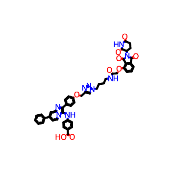 O=C(COc1cccc2c1C(=O)N(C1CCC(=O)NC1=O)C2=O)NCCCCn1cc(COc2ccc(-c3nc4cc(-c5ccccc5)ccn4c3Nc3ccc(C(=O)O)cc3)cc2)nn1